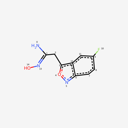 NC(Cc1onc2ccc(F)cc12)=NO